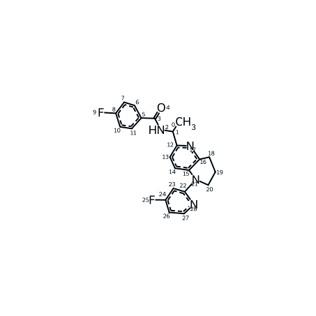 CC(NC(=O)c1ccc(F)cc1)c1ccc2c(n1)CCCN2c1cc(F)ccn1